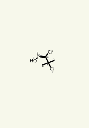 CC(C)(Cl)/C(Cl)=N\O